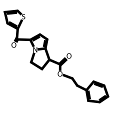 O=C(c1cccs1)c1ccc2n1CCC2C(=O)OCCc1ccccc1